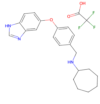 O=C(O)C(F)(F)F.c1nc2cc(Oc3ccc(CNC4CCCCCC4)cc3)ccc2[nH]1